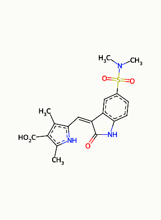 Cc1[nH]c(C=C2C(=O)Nc3ccc(S(=O)(=O)N(C)C)cc32)c(C)c1C(=O)O